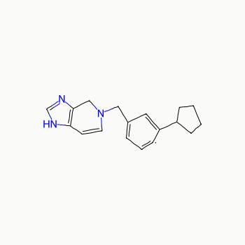 [c]1ccc(CN2C=Cc3[nH]cnc3C2)cc1C1CCCC1